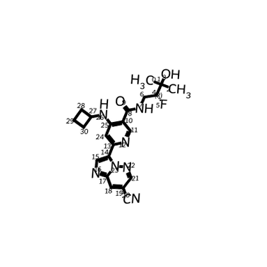 CC(C)(O)[C@H](F)CNC(=O)c1cnc(-c2cnc3cc(C#N)cnn23)cc1NC1CCC1